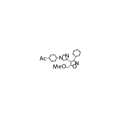 COCc1onc(-c2ccccc2)c1-c1cn(-c2ccc(C(C)=O)cc2)cn1